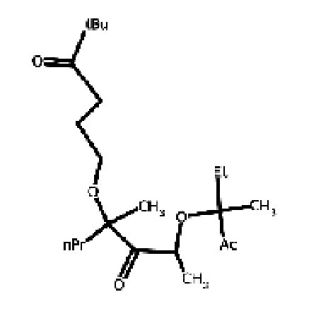 CCCC(C)(OCCCC(=O)C(C)(C)C)C(=O)C(C)OC(C)(CC)C(C)=O